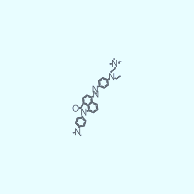 CCN(CC[N+](C)(C)C)c1ccc(N=Nc2ccc3c4c(cccc24)N(c2ccc(N(C)C)cc2)C3=O)cc1